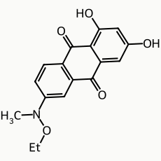 CCON(C)c1ccc2c(c1)C(=O)c1cc(O)cc(O)c1C2=O